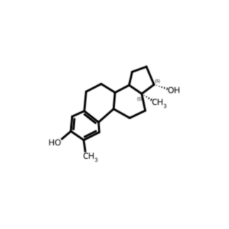 Cc1cc2c(cc1O)CCC1C2CC[C@@]2(C)C1CC[C@@H]2O